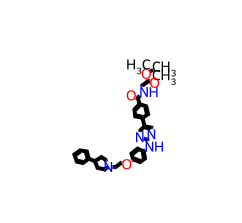 CC(C)(C)OC(=O)CNC(=O)c1ccc(-c2cnc(Nc3ccc(OCCN4CCC(c5ccccc5)CC4)cc3)nc2)cc1